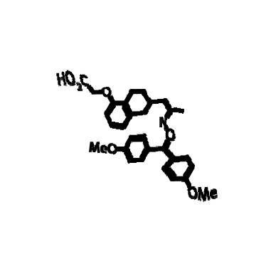 COc1ccc(C(ON=C(C)CC2CCc3c(cccc3OCC(=O)O)C2)c2ccc(OC)cc2)cc1